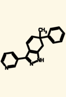 CC1(c2ccccc2)C=Cc2c(-c3cccnc3)n[nH]c2C1